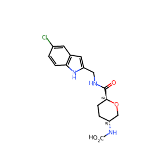 O=C(O)N[C@@H]1CC[C@@H](C(=O)NCc2cc3cc(Cl)ccc3[nH]2)OC1